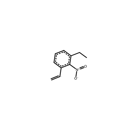 C=[C]c1cccc(CC)c1[N+](=O)[O-]